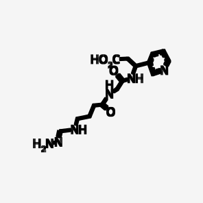 NN=CNCCCC(=O)NCC(=O)NC(CC(=O)O)c1cccnc1